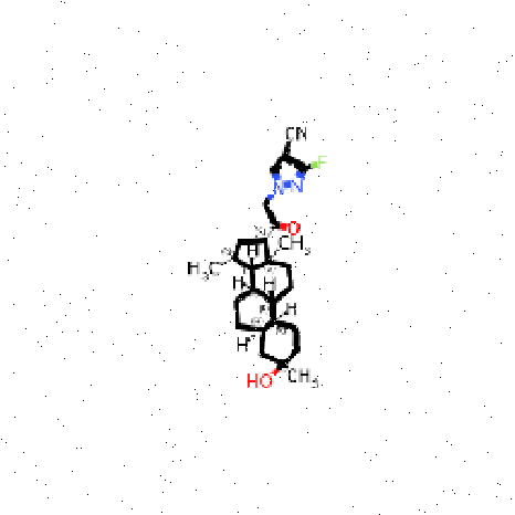 C[C@@H]1C[C@H](C(=O)Cn2cc(C#N)c(F)n2)[C@@]2(C)CC[C@H]3[C@@H](CC[C@@H]4C[C@](C)(O)CC[C@@H]43)[C@H]12